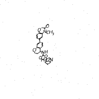 CN1C(=O)COc2ccc(-c3ccc4c(c3)OCCC4NC(=O)O[C@H]3CN4CCC3CC4)cc21